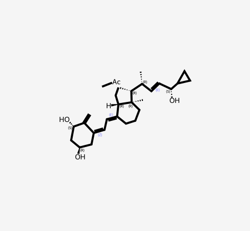 C=C1/C(=C\C=C2/CCC[C@]3(C)[C@@H]([C@H](C)/C=C/[C@@H](O)C4CC4)CC[C@@H]23)C[C@@H](O)C[C@@H]1O.CC(C)=O